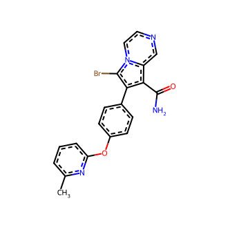 Cc1cccc(Oc2ccc(-c3c(C(N)=O)c4cnccn4c3Br)cc2)n1